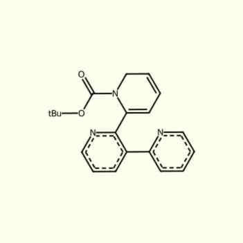 CC(C)(C)OC(=O)N1CC=CC=C1c1ncccc1-c1ccccn1